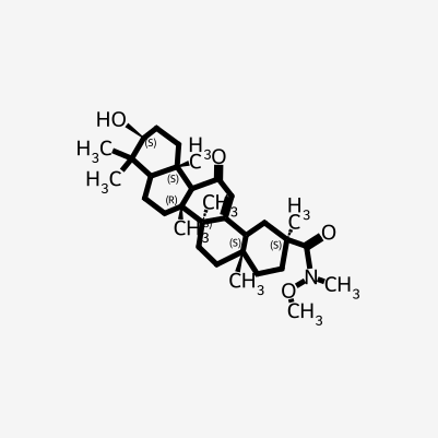 CON(C)C(=O)[C@@]1(C)CC[C@]2(C)CC[C@]3(C)C(=CC(=O)C4[C@@]5(C)CC[C@H](O)C(C)(C)C5CC[C@]43C)C2C1